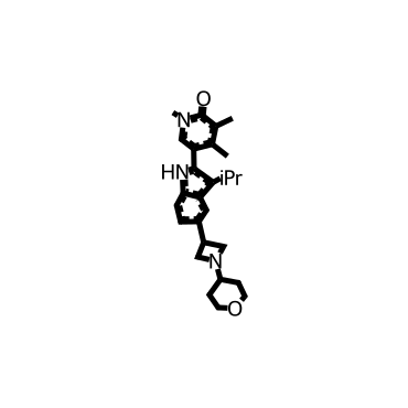 Cc1c(-c2[nH]c3ccc(C4CN(C5CCOCC5)C4)cc3c2C(C)C)cn(C)c(=O)c1C